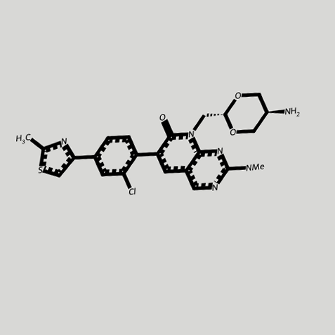 CNc1ncc2cc(-c3ccc(-c4csc(C)n4)cc3Cl)c(=O)n(C[C@H]3OC[C@H](N)CO3)c2n1